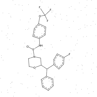 [O-][S+](Nc1ccc(OC(F)(F)F)cc1)N1CCOC(C(c2ccccc2)c2ccc(F)cc2)C1